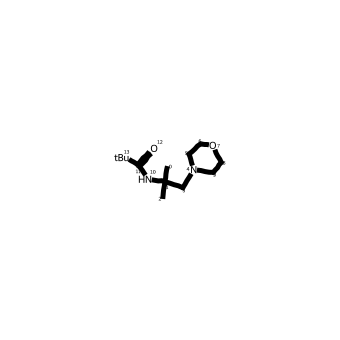 CC(C)(CN1CCOCC1)NC(=O)C(C)(C)C